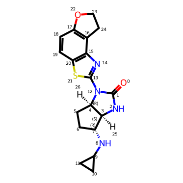 O=C1N[C@@H]2[C@@H](CC[C@H]2NC2CC2)N1c1nc2c3c(ccc2s1)OCC3